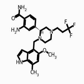 COc1cc(C)c2[nH]ccc2c1CN1CCN(CCC(F)(F)F)C[C@H]1c1ccc(C(N)=O)c(N)c1